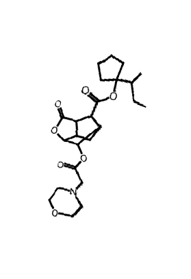 CCC(C)C1(OC(=O)C2C3CC4C(OC(=O)C42)C3OC(=O)CN2CCOCC2)CCCC1